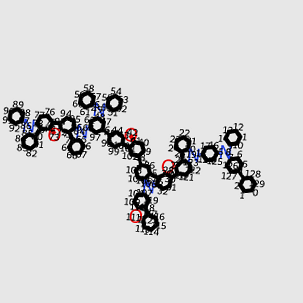 c1ccc(-c2ccc(N(c3ccccc3)c3ccc(-n4c5ccccc5c5c6oc7c(ccc8c7c7cc(-c9ccc%10oc%11cc(-c%12cc(N(c%13ccccc%13)c%13ccccc%13)cc(-n%13c%14ccccc%14c%14c%15oc%16c(ccc%17c%16c%16ccccc%16n%17-c%16ccccc%16)c%15ccc%14%13)c%12)ccc%11c%10c9)ccc7n8-c7ccc8oc9ccccc9c8c7)c6ccc54)cc3)cc2)cc1